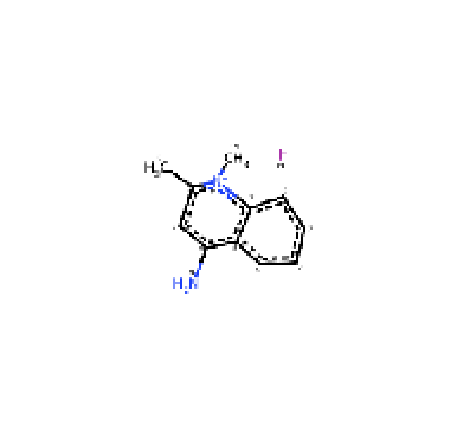 Cc1cc(N)c2ccccc2[n+]1C.[I-]